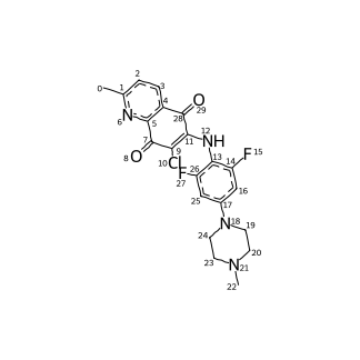 Cc1ccc2c(n1)C(=O)C(Cl)=C(Nc1c(F)cc(N3CCN(C)CC3)cc1F)C2=O